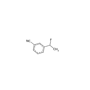 CC(F)c1cccc(C#N)c1